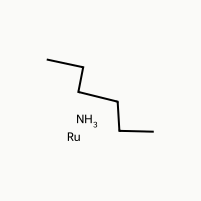 CCCCCC.N.[Ru]